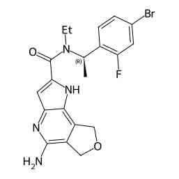 CCN(C(=O)c1cc2nc(N)c3c(c2[nH]1)COC3)[C@H](C)c1ccc(Br)cc1F